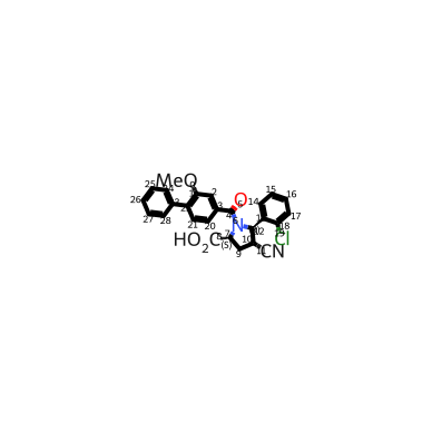 COc1cc(C(=O)N2[C@H](C(=O)O)CC(C#N)[C@@H]2c2ccccc2Cl)ccc1-c1ccccc1